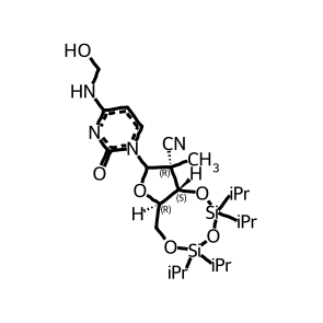 CC(C)[Si]1(C(C)C)OC[C@H]2OC(n3ccc(NCO)nc3=O)[C@](C)(C#N)[C@@H]2O[Si](C(C)C)(C(C)C)O1